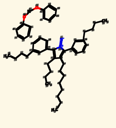 CCCCCCCCC1=C(c2cccc(CCCC)c2)[N+](=[N-])C(c2cccc(CCCC)c2)=C1CCCC.c1ccc([O][Ni][O]c2ccccc2)cc1